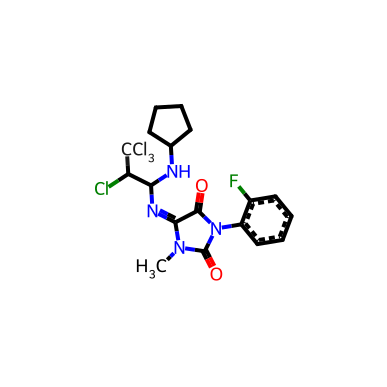 CN1C(=O)N(c2ccccc2F)C(=O)/C1=N\C(NC1CCCC1)C(Cl)C(Cl)(Cl)Cl